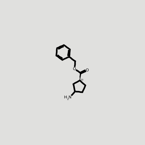 NC1CC[C@H](C(=O)OCc2ccccc2)C1